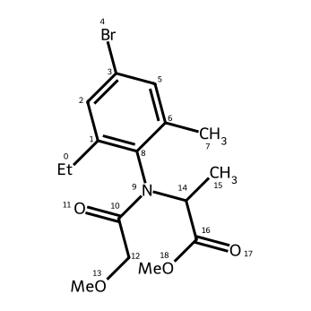 CCc1cc(Br)cc(C)c1N(C(=O)COC)C(C)C(=O)OC